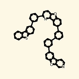 c1cc(-c2cccc(-c3ccc4oc5ccc(-c6cccc(-c7ccc8sc9ccccc9c8c7)c6)nc5c4c3)c2)cc(-c2ccc3oc4cnccc4c3c2)c1